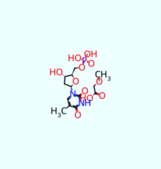 COCC(=O)O.Cc1cn([C@H]2C[C@H](O)[C@@H](COP(=O)(O)O)O2)c(=O)[nH]c1=O